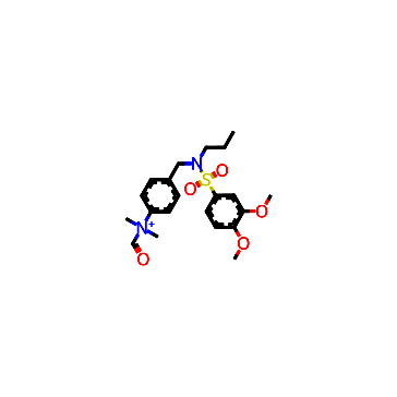 CCCN(Cc1ccc([N+](C)(C)C=O)cc1)S(=O)(=O)c1ccc(OC)c(OC)c1